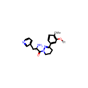 CCOc1cc(C2=NN(C(=O)[C@H](N)Cc3cccnc3)CCC2)ccc1OC